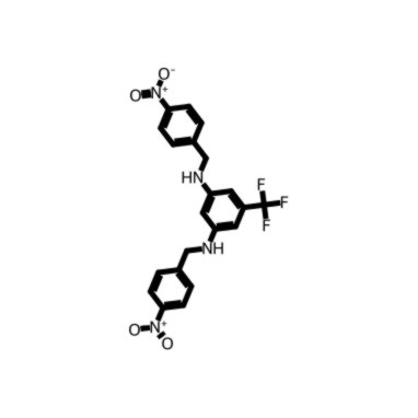 O=[N+]([O-])c1ccc(CNc2cc(NCc3ccc([N+](=O)[O-])cc3)cc(C(F)(F)F)c2)cc1